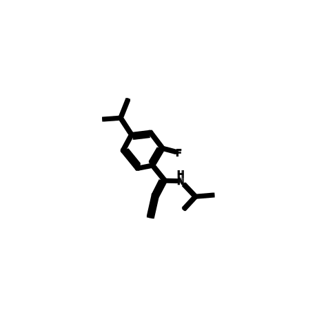 C=C=C(NC(C)C)c1ccc(C(C)C)cc1F